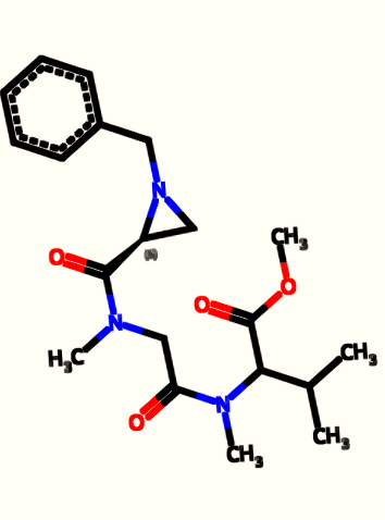 COC(=O)C(C(C)C)N(C)C(=O)CN(C)C(=O)[C@@H]1CN1Cc1ccccc1